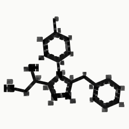 Cc1ccc(-n2c(Cc3ccccc3)nnc2C(S)CS)cc1